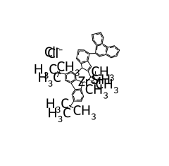 CCCC1=Cc2c(-c3cc4ccccc4c4ccccc34)cccc2C1c1cc(C(C)(C)C)cc2c1[CH]([Zr+2][SiH](C)C)c1ccc(C(C)(C)C)cc1-2.[Cl-].[Cl-]